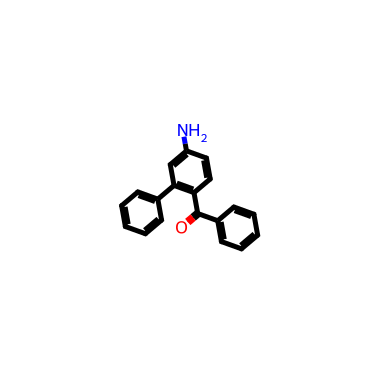 Nc1ccc(C(=O)c2ccccc2)c(-c2ccccc2)c1